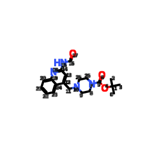 CC(C)(C)OC(=O)N1CCN(Cc2cc(NC=O)nc3ccccc23)CC1